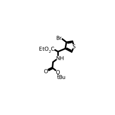 CCOC(=O)C(NCC(=O)OC(C)(C)C)c1cscc1Br